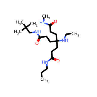 CCCNC(=O)CCC(CCC(=O)NC)(CCC(=O)NCC(C)(C)C)NCC